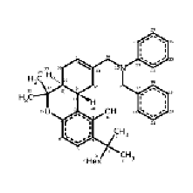 CCCCCCC(C)(C)c1ccc2c(c1O)[C@H]1CC(CN(Cc3ccccc3)c3ccccc3)=CC[C@@H]1C(C)(C)O2